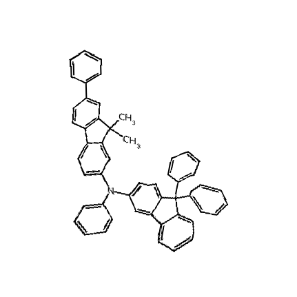 CC1(C)c2cc(-c3ccccc3)ccc2-c2ccc(N(c3ccccc3)c3ccc4c(c3)-c3ccccc3C4(c3ccccc3)c3ccccc3)cc21